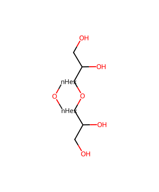 CCCCCCOCCCCCC.OCC(O)COCC(O)CO